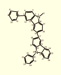 Cn1c2ccc(-c3ccccc3)cc2c2cc(-c3ccc4c(c3)c3ccccc3n4-c3ccccc3)ccc21